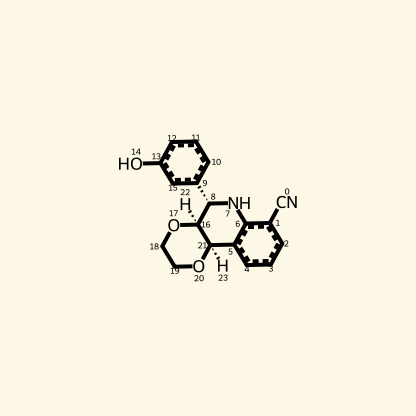 N#Cc1cccc2c1N[C@@H](c1cccc(O)c1)[C@@H]1OCCO[C@H]21